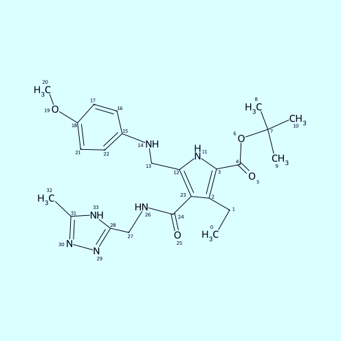 CCc1c(C(=O)OC(C)(C)C)[nH]c(CNc2ccc(OC)cc2)c1C(=O)NCc1nnc(C)[nH]1